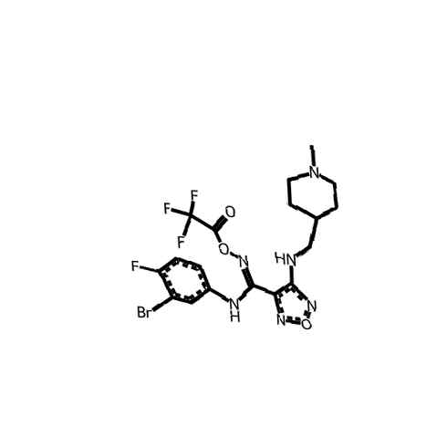 CN1CCC(CNc2nonc2C(=NOC(=O)C(F)(F)F)Nc2ccc(F)c(Br)c2)CC1